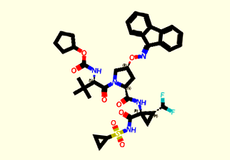 CC(C)(C)[C@H](NC(=O)OC1CCCC1)C(=O)N1C[C@H](ON=C2c3ccccc3-c3ccccc32)C[C@H]1C(=O)N[C@]1(C(=O)NS(=O)(=O)C2CC2)C[C@H]1C(F)F